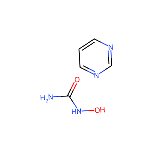 NC(=O)NO.c1cncnc1